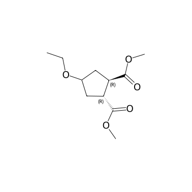 CCOC1C[C@@H](C(=O)OC)[C@H](C(=O)OC)C1